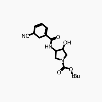 CC(C)(C)OC(=O)N1CC(O)C(NC(=O)C2=CC=CC(C#N)C2)C1